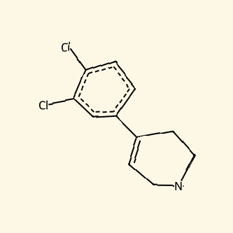 Clc1ccc(C2=CC[N]CC2)cc1Cl